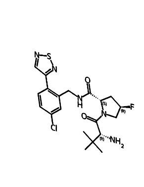 CC(C)(C)[C@@H](N)C(=O)N1C[C@H](F)C[C@H]1C(=O)NCc1cc(Cl)ccc1-c1cnsn1